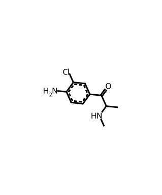 CNC(C)C(=O)c1ccc(N)c(Cl)c1